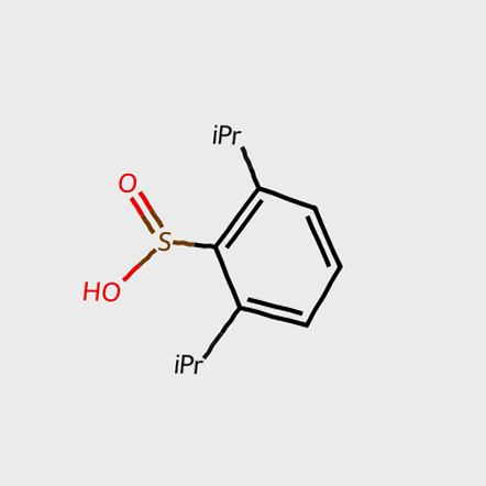 CC(C)c1cccc(C(C)C)c1S(=O)O